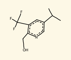 CC(C)c1cnc(CO)c(C(F)(F)F)c1